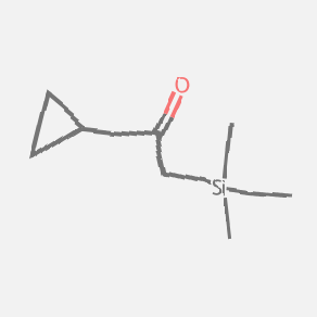 C[Si](C)(C)CC(=O)C1CC1